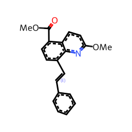 COC(=O)c1ccc(/C=C/c2ccccc2)c2nc(OC)ccc12